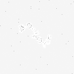 CCN1CCCC(Nc2ccc(NC(=O)COc3cccc(-n4cnnn4)c3)cc2)C1